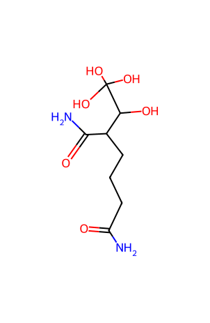 NC(=O)CCCC(C(N)=O)C(O)C(O)(O)O